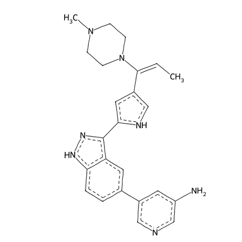 C/C=C(\c1c[nH]c(-c2n[nH]c3ccc(-c4cncc(N)c4)cc23)c1)N1CCN(C)CC1